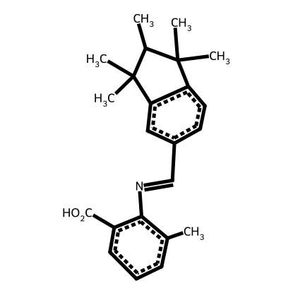 Cc1cccc(C(=O)O)c1N=Cc1ccc2c(c1)C(C)(C)C(C)C2(C)C